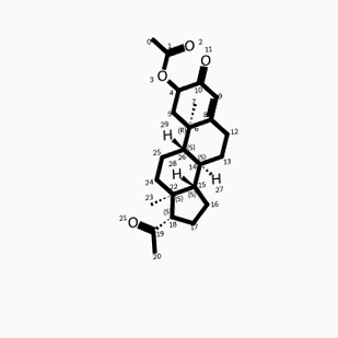 CC(=O)OC1C[C@@]2(C)C(=CC1=O)CC[C@H]1[C@@H]3CC[C@H](C(C)=O)[C@@]3(C)CC[C@@H]12